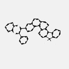 CC1(C)c2ccccc2-c2c1ccc1c2ccc2ccc3cc(-c4nc5ccccc5nc4-c4ccccc4)ccc3c21